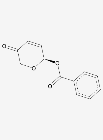 O=C1C=C[C@@H](OC(=O)c2ccccc2)OC1